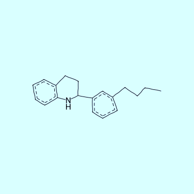 CCCCc1cccc(C2CCc3ccccc3N2)c1